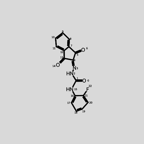 O=C(NN=c1c(=O)c2ccccc2c1=O)Nc1ccccc1F